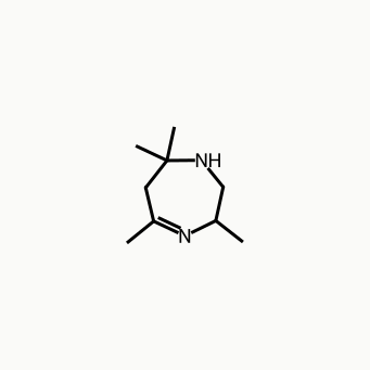 CC1=NC(C)CNC(C)(C)C1